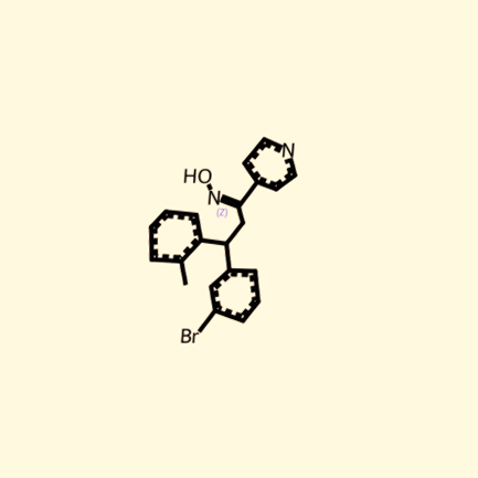 Cc1ccccc1C(C/C(=N/O)c1ccncc1)c1cccc(Br)c1